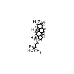 CCC(C)(O)CCCC[C@H]1CCC2[C@@H]3CCC4C[C@@](C)(O)CC[C@]4(C)C3CC[C@@]21C